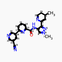 CC1C=C(c2nn(C)cc2NC(=O)c2cccc(-c3cncc(C#N)c3)n2)N=CC1